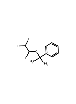 CC(N)(OC(F)C(F)F)c1ccccc1